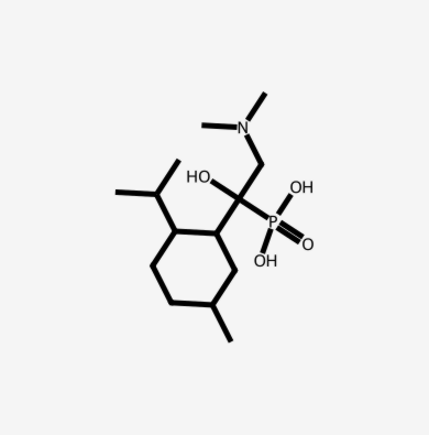 CC1CCC(C(C)C)C(C(O)(CN(C)C)P(=O)(O)O)C1